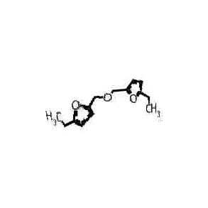 CCc1ccc(COCc2ccc(CC)o2)o1